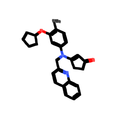 COc1ccc(N(Cc2ccc3ccccc3n2)C2=CC(=O)CC2)cc1OC1CCCC1